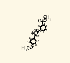 COC(=O)c1cccc(-c2nc(-c3ccc(OC)cc3)no2)c1